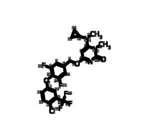 CN(c1cc(OCc2cc(F)c(Oc3ccc(Cl)c(C(F)(F)F)c3)c(F)c2)nc(=O)n1C)C1CC1